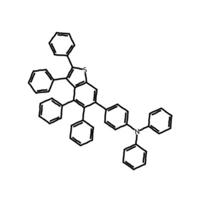 c1ccc(-c2sc3cc(-c4ccc(N(c5ccccc5)c5ccccc5)cc4)c(-c4ccccc4)c(-c4ccccc4)c3c2-c2ccccc2)cc1